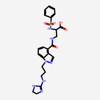 O=C(NCC(NS(=O)(=O)c1ccccc1)C(=O)O)c1cccc2c1cnn2CCCNC1=NCCN1